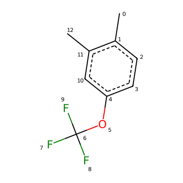 Cc1ccc(OC(F)(F)F)cc1C